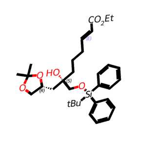 CCOC(=O)/C=C/CCC[C@@](O)(CO[Si](c1ccccc1)(c1ccccc1)C(C)(C)C)C[C@@H]1COC(C)(C)O1